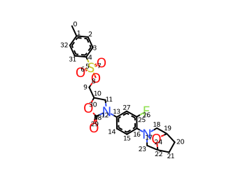 Cc1ccc(S(=O)(=O)OCC2CN(c3ccc(N4CC5CCC(C4)O5)c(F)c3)C(=O)O2)cc1